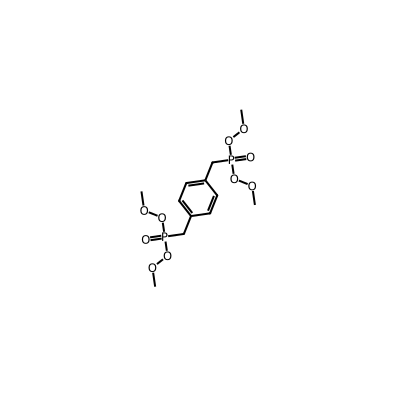 COOP(=O)(Cc1ccc(CP(=O)(OOC)OOC)cc1)OOC